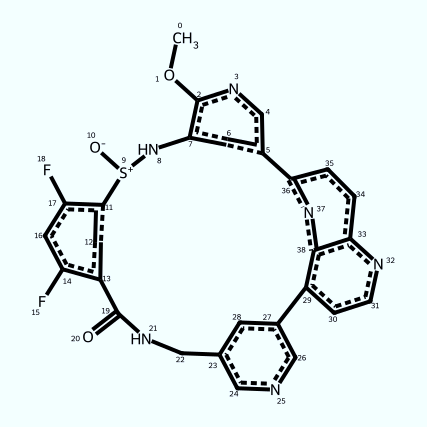 COc1ncc2cc1N[S+]([O-])c1cc(c(F)cc1F)C(=O)NCc1cncc(c1)-c1ccnc3ccc-2nc13